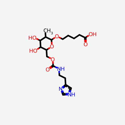 CC1C(OCCCCC(=O)O)OC(COC(=O)NCCc2c[nH]cn2)C(O)C1O